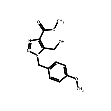 COC(=O)c1nnn(Cc2ccc(OC)cc2)c1CO